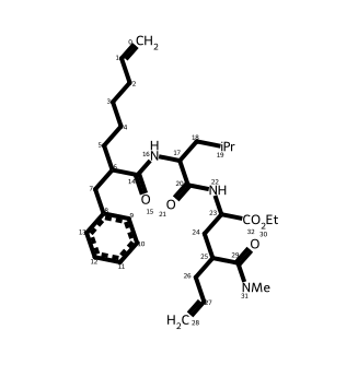 C=CCCCCC(Cc1ccccc1)C(=O)NC(CC(C)C)C(=O)NC(CC(CC=C)C(=O)NC)C(=O)OCC